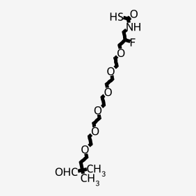 CC(C)(C=O)CCOCCOCCOCCOCCOCCOCC(F)CNC(=O)S